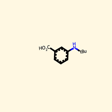 CC(C)(C)Nc1cccc(C(=O)O)c1